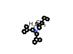 C[Si]1(C)c2cc(-c3cccc4ccccc34)ccc2-c2ccc(-n3c4ccc(-c5cc6ccccc6c6ccccc56)cc4c4cc(-c5cc6ccccc6c6ccccc56)ccc43)cc21